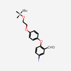 CC(C)(C)[Si](C)(C)OCCOc1ccc(Oc2ccc(I)cc2C=O)cc1